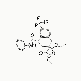 CCOC(=O)C1(C(=O)OCC)Cc2ccc(C(F)(F)F)cc2C(C(=O)Nc2ccccc2)C1